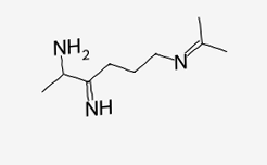 CC(C)=NCCCC(=N)C(C)N